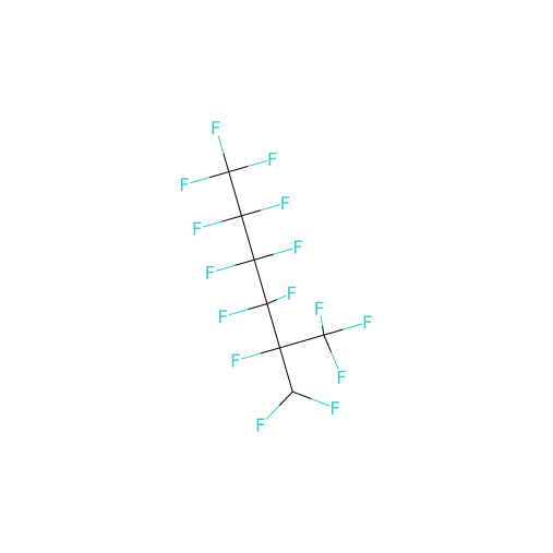 FC(F)C(F)(C(F)(F)F)C(F)(F)C(F)(F)C(F)(F)C(F)(F)F